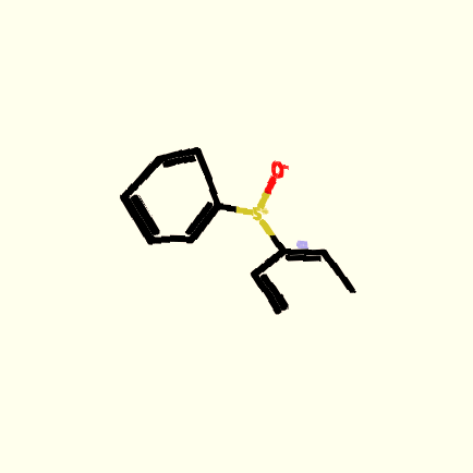 C=C/C(=C\C)[S+]([O-])c1ccccc1